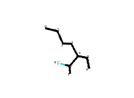 CCCCC(CC)C(C)F